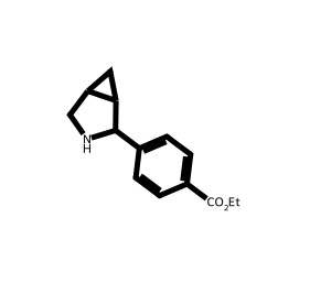 CCOC(=O)c1ccc(C2NCC3CC32)cc1